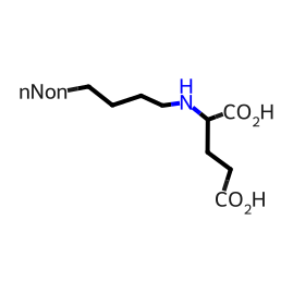 CCCCCCCCCCCCCNC(CCC(=O)O)C(=O)O